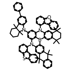 CC1(C)CCC(C)(C)c2cc3c(cc21)B1c2cc4c(cc2N(c2cccc5sc6ccccc6c25)c2cc(N5c6ccc(-c7ccccc7)cc6C6(C)CCCCC56C)cc(c21)N3c1cccc2oc3ccccc3c12)C(C)(C)c1ccccc1C4(C)C